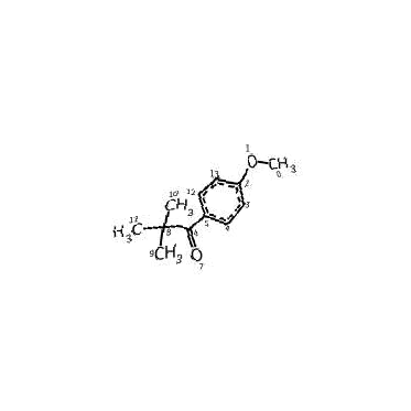 COc1ccc(C(=O)C(C)(C)C)cc1